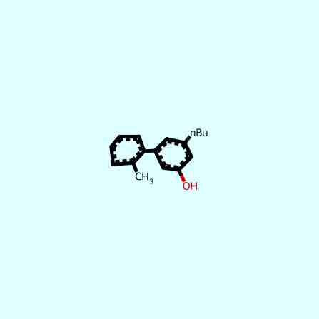 CCCCc1cc(O)cc(-c2ccccc2C)c1